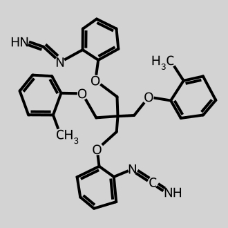 Cc1ccccc1OCC(COc1ccccc1C)(COc1ccccc1N=C=N)COc1ccccc1N=C=N